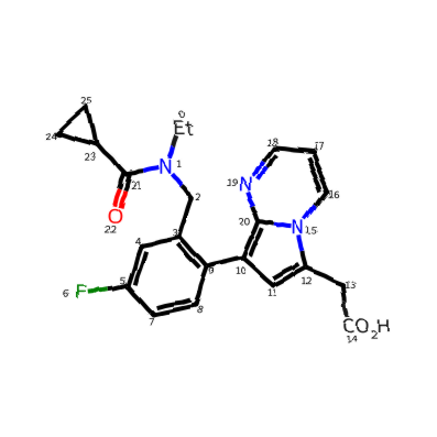 CCN(Cc1cc(F)ccc1-c1cc(CC(=O)O)n2cccnc12)C(=O)C1CC1